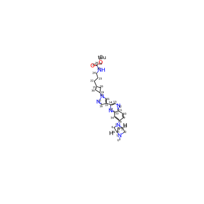 CN1C[C@H]2C[C@@H]1CN2c1ccc2ncc(-c3cnn(C4CC(CCCNC(=O)OC(C)(C)C)C4)c3)nc2c1